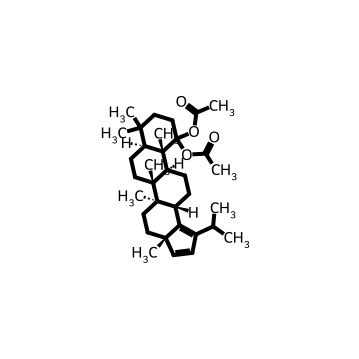 CC(=O)OC1(OC(C)=O)CCC(C)(C)[C@@H]2CC[C@]3(C)[C@H](CC[C@@H]4C5=C(C(C)C)C=C[C@]5(C)CC[C@]43C)[C@]21C